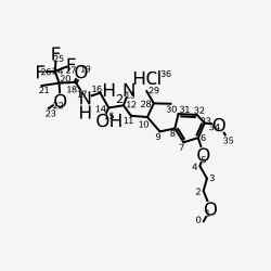 COCCCOc1cc(CC(CC(N)C(O)CNC(=O)C(C)(OC)C(F)(F)F)C(C)C)ccc1OC.Cl